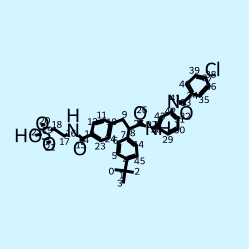 CC(C)(C)c1ccc(C(Cc2ccc(C(=O)NCCS(=O)(=O)O)cc2)C(=O)Nc2ccc3oc(-c4ccc(Cl)cc4)nc3c2)cc1